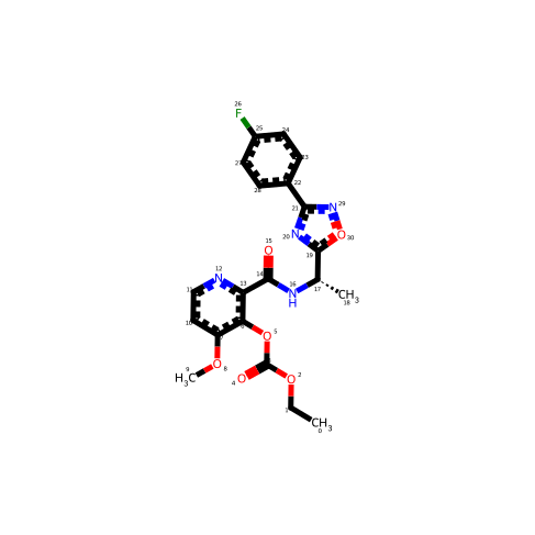 CCOC(=O)Oc1c(OC)ccnc1C(=O)N[C@@H](C)c1nc(-c2ccc(F)cc2)no1